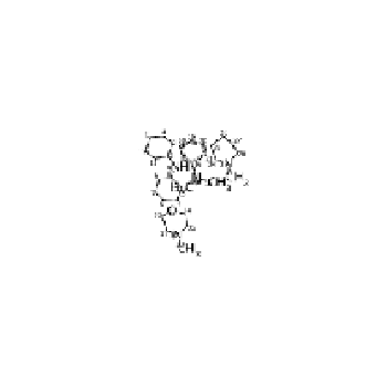 C1CCC(NC2CCCCC2)CC1.CN(C)c1ccccc1.CN1CCCCC1.CN1CCOCC1